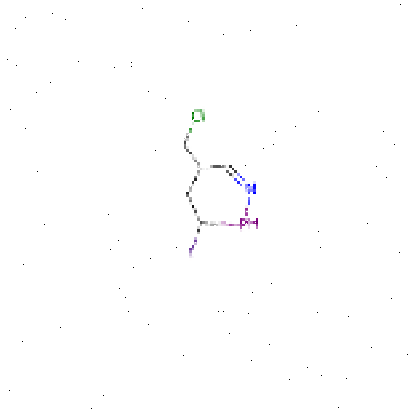 ClCC1C=NPC(I)C1